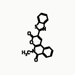 Cn1c(=O)c2ccccc2c2cc(-c3nc4ccccc4s3)c(=O)oc21